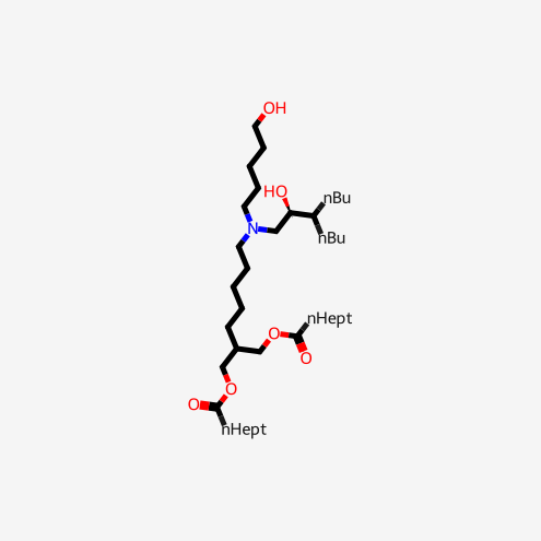 CCCCCCCC(=O)OCC(CCCCCN(CCCCCO)C[C@@H](O)C(CCCC)CCCC)COC(=O)CCCCCCC